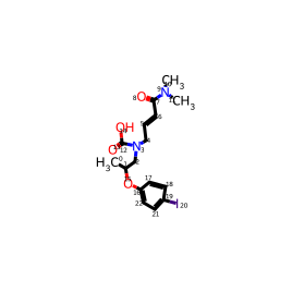 CC(CN(CC=CC(=O)N(C)C)C(=O)O)Oc1ccc(I)cc1